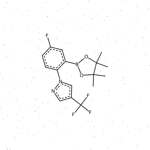 CC1(C)OB(c2cc(F)ccc2-n2cc(C(F)(F)F)cn2)OC1(C)C